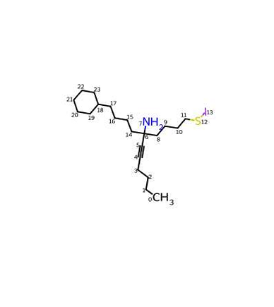 CCCCC#CC(N)(CCCCSI)CCCCC1CCCCC1